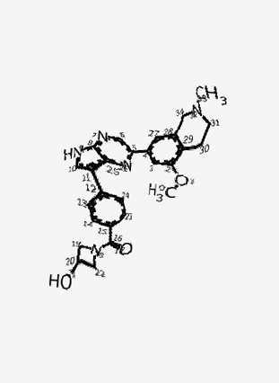 COc1cc(-c2cnc3[nH]cc(-c4ccc(C(=O)N5CC(O)C5)cc4)c3n2)cc2c1CCN(C)C2